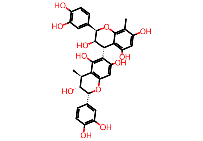 Cc1c(O)cc(O)c2c1O[C@H](c1ccc(O)c(O)c1)[C@H](O)[C@H]2c1c(O)cc2c(c1O)[C@H](C)[C@@H](O)[C@@H](c1ccc(O)c(O)c1)O2